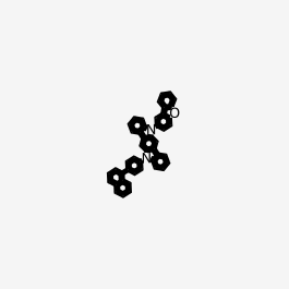 c1ccc2c(-c3ccc(-n4c5ccccc5c5cc6c(cc54)c4ccccc4n6-c4ccc5oc6ccccc6c5c4)cc3)cccc2c1